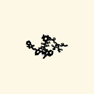 C=CC(=O)OCC(COC(=O)C=C)(COC(=O)C=C)COC(=O)NCC1(C)CC(NC(=O)Nc2nnc(SC3=C(/C=C/C4=[N+](C)c5ccccc5C4(C)C)CCC/C3=C\C=C3\N(C)c4ccccc4C3(C)C)s2)CC(C)(C)C1